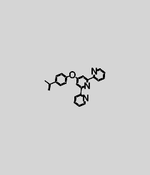 C=C(C)c1ccc(Oc2cc(-c3ccccn3)nc(-c3ccccn3)c2)cc1